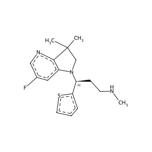 CNCC[C@@H](c1cccs1)N1CC(C)(C)c2ncc(F)cc21